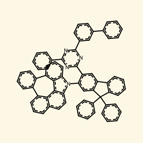 c1ccc(-c2cccc(-c3nc(-c4ccccc4)nc(-c4cc5c(cc4-n4c6cccc7c6c6c8c(cccc8ccc64)-c4ccccc4-7)C(c4ccccc4)(c4ccccc4)c4ccccc4-5)n3)c2)cc1